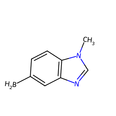 Bc1ccc2c(c1)ncn2C